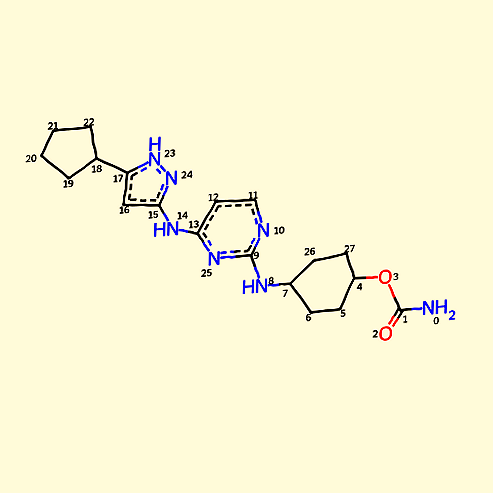 NC(=O)OC1CCC(Nc2nccc(Nc3cc(C4CCCC4)[nH]n3)n2)CC1